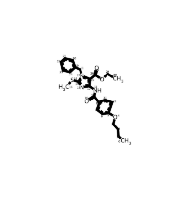 CCCCOc1ccc(C(=O)Nc2nc(SC)n(Cc3ccccc3)c2C(=O)OCC)cc1